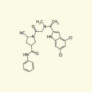 C=C(c1cc2c(Cl)cc(Cl)cc2[nH]1)N(C)CC(=O)N1CC(C(=O)Nc2ccccc2)CC1C#N